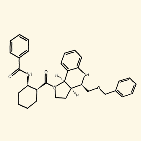 O=C(N[C@@H]1CCCC[C@@H]1C(=O)N1CC[C@@H]2[C@H](COCc3ccccc3)Nc3ccccc3[C@@H]21)c1ccccc1